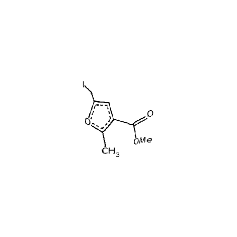 COC(=O)c1cc(I)oc1C